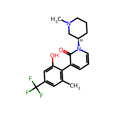 Cc1cc(C(F)(F)F)cc(O)c1-c1cccn([C@@H]2CCCN(C)C2)c1=O